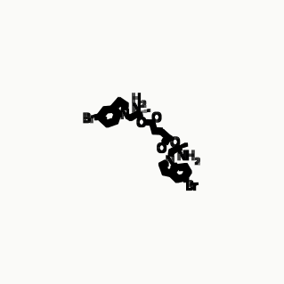 C[C@@](N)(Cn1ccc2cc(Br)ccc21)OC(=O)/C=C/C(=O)O[C@](C)(N)Cn1ccc2cc(Br)ccc21